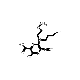 [C-]#[N+]c1nc(Cl)c(C(=O)O)nc1N(CCCO)CCOC